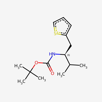 CC(C)[C@H](Cc1cccs1)NC(=O)OC(C)(C)C